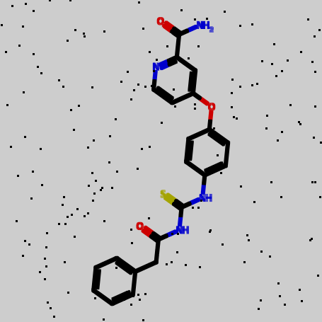 NC(=O)c1cc(Oc2ccc(NC(=S)NC(=O)Cc3ccccc3)cc2)ccn1